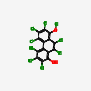 Oc1c(Cl)c(Cl)c(Cl)c2c1c(Cl)c(Cl)c1c(OCl)c(Cl)c(Cl)c(Cl)c12